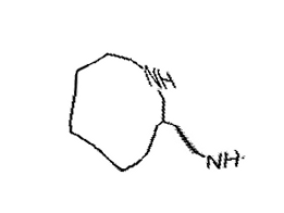 [NH]C1CCCCN1